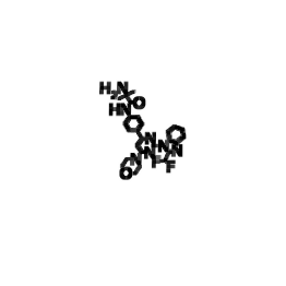 CC(C)(N)C(=O)Nc1ccc(-c2cc(N3CCOCC3)nc(-n3c(C(F)F)nc4ccccc43)n2)cc1